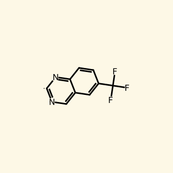 FC(F)(F)c1ccc2n[c]ncc2c1